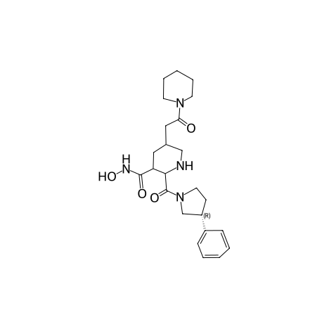 O=C(NO)C1CC(CC(=O)N2CCCCC2)CNC1C(=O)N1CC[C@H](c2ccccc2)C1